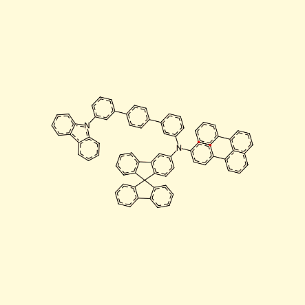 c1ccc(-c2cccc3cccc(-c4ccc(N(c5cccc(-c6ccc(-c7cccc(-n8c9ccccc9c9ccccc98)c7)cc6)c5)c5ccc6c(c5)-c5ccccc5C65c6ccccc6-c6ccccc65)cc4)c23)cc1